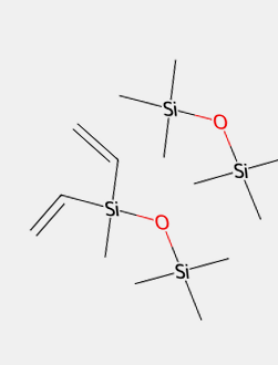 C=C[Si](C)(C=C)O[Si](C)(C)C.C[Si](C)(C)O[Si](C)(C)C